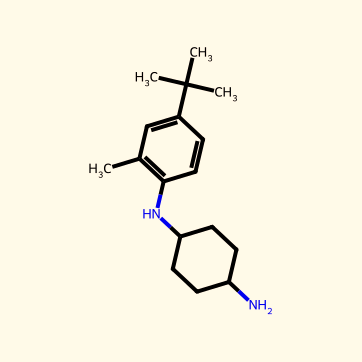 Cc1cc(C(C)(C)C)ccc1NC1CCC(N)CC1